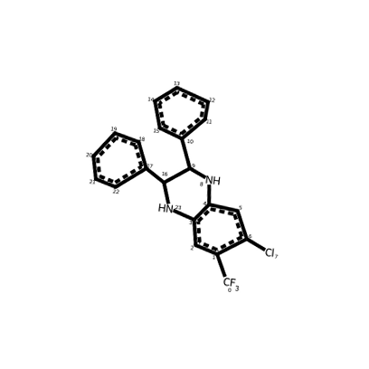 FC(F)(F)c1cc2c(cc1Cl)NC(c1ccccc1)C(c1ccccc1)N2